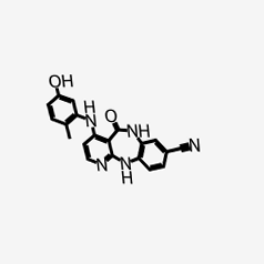 Cc1ccc(O)cc1Nc1ccnc2c1C(=O)Nc1cc(C#N)ccc1N2